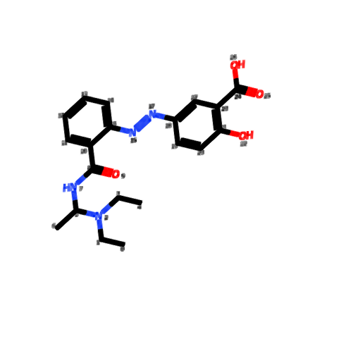 CCN(CC)C(C)NC(=O)c1ccccc1N=Nc1ccc(O)c(C(=O)O)c1